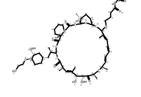 CO[C@@H]1C[C@H](C[C@@H](C)[C@@H]2CC(=O)[C@H](C)/C=C(\C)[C@@H](O)[C@@H](OC)C(=O)[C@H](C)C[C@H](C)/C=C/C=C/C=C(\C)C(OCCCC(=O)NC(=O)OC(C)(C)C)C[C@@H]3CC[C@@H](C)[C@](O)(CC(=O)N4CCCC[C@H]4C(=O)O2)O3)CC[C@H]1OCCO